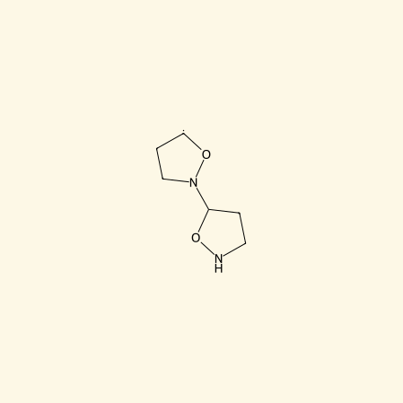 [CH]1CCN(C2CCNO2)O1